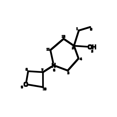 CCC1(O)CCN(C2COC2)CC1